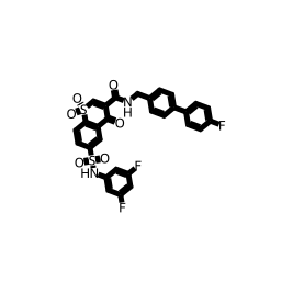 O=C(NCc1ccc(-c2ccc(F)cc2)cc1)C1=CS(=O)(=O)c2ccc(S(=O)(=O)Nc3cc(F)cc(F)c3)cc2C1=O